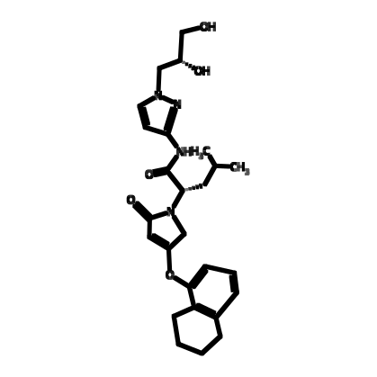 CC(C)C[C@@H](C(=O)Nc1ccn(C[C@@H](O)CO)n1)N1CC(Oc2cccc3c2CCCC3)=CC1=O